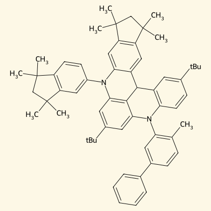 Cc1ccc(-c2ccccc2)cc1N1c2ccc(C(C)(C)C)cc2C2c3cc4c(cc3N(c3ccc5c(c3)C(C)(C)CC5(C)C)c3cc(C(C)(C)C)cc1c32)C(C)(C)CC4(C)C